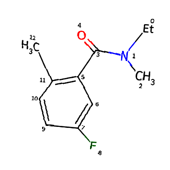 CCN(C)C(=O)c1cc(F)ccc1C